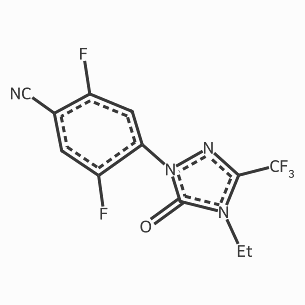 CCn1c(C(F)(F)F)nn(-c2cc(F)c(C#N)cc2F)c1=O